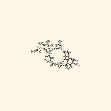 CCn1c(-c2cccnc2[C@H](C)OC)c2c3cc(ccc31)-c1cc(O)cc(c1)C[C@H](NC(=O)C(C(C)C)N(C)C(=O)[C@H]1C[C@H](O)C1)C(=O)N1CCC[C@H](N1)C(=O)OCC(C)(C)C2